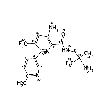 Cc1ccc(-c2nc(C(=O)NCC(C)(N)C(F)(F)F)c(N)cc2C(F)(F)F)cn1